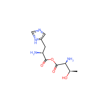 C[C@@H](O)[C@H](N)C(=O)OC(=O)[C@@H](N)Cc1cnc[nH]1